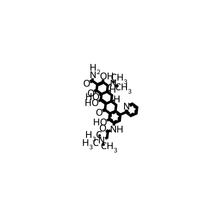 CN(C)[C@@H]1C(O)=C(C(N)=O)C(=O)[C@@]2(O)C(O)=C3C(=O)c4c(O)c(NC(=O)C[N+](C)(C)C)cc(-c5ccccn5)c4C[C@H]3C[C@@H]12